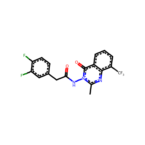 Cc1nc2c(C(F)(F)F)cccc2c(=O)n1NC(=O)Cc1ccc(F)c(F)c1